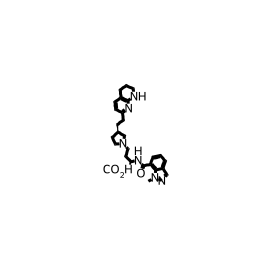 Cn1ncc2cccc(C(=O)N[C@H](CCN3CC[C@@H](CCc4ccc5c(n4)NCCC5)C3)C(=O)O)c21